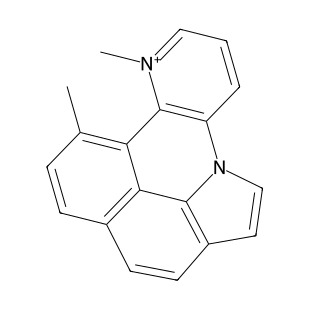 Cc1ccc2ccc3ccn4c5ccc[n+](C)c5c1c2c34